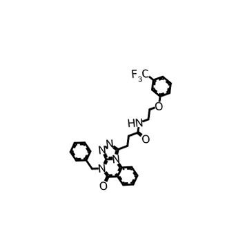 O=C(CCc1nnc2n(Cc3ccccc3)c(=O)c3ccccc3n12)NCCOc1cccc(C(F)(F)F)c1